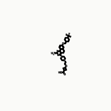 Nc1nc2c(c(N3CCN(CCOC4CC(C(=O)O)C4)CC3)n1)CCc1cc(OCC3CCC(C(F)(F)F)CC3)ccc1-2